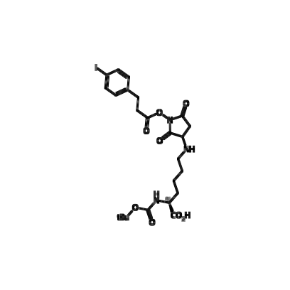 CC(C)(C)OC(=O)N[C@@H](CCCCNC1CC(=O)N(OC(=O)CCc2ccc(I)cc2)C1=O)C(=O)O